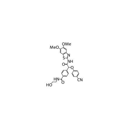 COc1cc2nc(NC(=O)C(Oc3ccc(C#N)cc3)c3ccc(C(=O)NCCO)cc3)sc2cc1OC